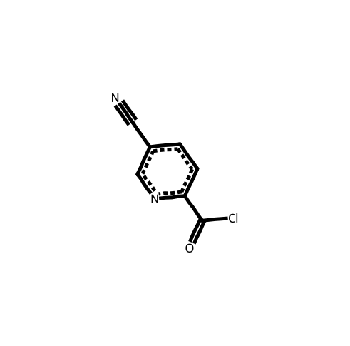 N#Cc1ccc(C(=O)Cl)nc1